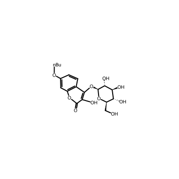 CCCCOc1ccc2c(O[C@@H]3O[C@H](CO)[C@@H](O)[C@H](O)[C@H]3O)c(O)c(=O)oc2c1